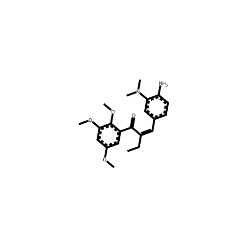 CCC(=Cc1ccc(N)c(N(C)C)c1)C(=O)c1cc(OC)cc(OC)c1OC